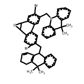 CC1(C)C2=C(C=CCC2)C(Cc2cc3c(cc2Br)C2OC2c2cc(Br)c(CN4c5ccccc5C(C)(C)c5ccccc54)cc2-3)c2ccccc21